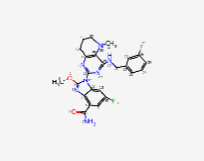 COc1nc2c(C(N)=O)cc(F)cc2n1-c1nc2c(c(NCc3cccc(F)c3)n1)N(C)CCC2